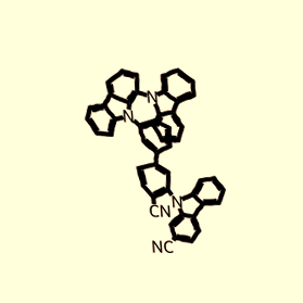 N#Cc1ccc2c3ccccc3n(-c3cc(-c4cccc(-n5c6ccccc6c6cccc(-n7c8ccccc8c8ccccc87)c65)c4)ccc3C#N)c2c1